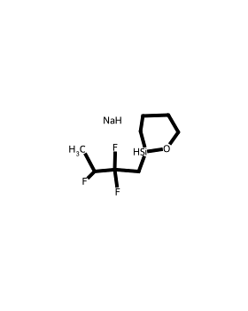 CC(F)C(F)(F)C[SiH]1CCCCO1.[NaH]